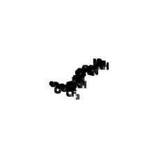 C/C=C/C(=O)COc1ccc(Nc2nc3cc(Oc4ccnc(-c5ncc(C)[nH]5)c4)ccc3n2C)cc1C(F)(F)F